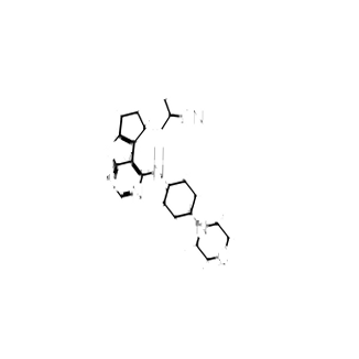 CC(C#N)C[C@H]1CCc2sc3ncnc(N[C@H]4CC[C@H](N5CCOCC5)CC4)c3c21